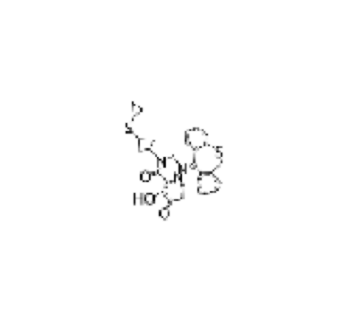 O=C1c2c(O)c(=O)ccn2N([C@H]2c3ccccc3CSc3ccccc32)CN1C1CC(SC2CC2)C1